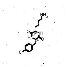 NCCCC[C@@H]1NC(=O)[C@H](Cc2ccc(Cl)cc2)NC1=O